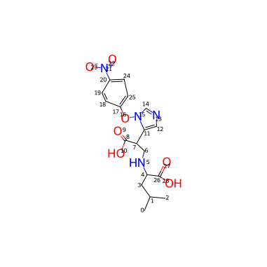 CC(C)CC(NCC(C(=O)O)c1cncn1Oc1ccc([N+](=O)[O-])cc1)C(=O)O